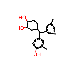 Cc1cccc(C(c2ccc(O)c(C)c2)C2CCC(O)C(O)C2)c1